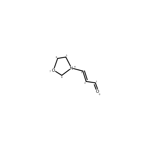 O=CC=CN1CCOC1